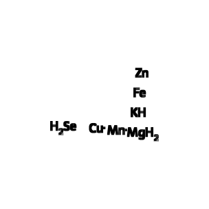 [Cu].[Fe].[KH].[MgH2].[Mn].[SeH2].[Zn]